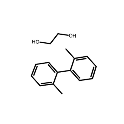 Cc1ccccc1-c1ccccc1C.OCCO